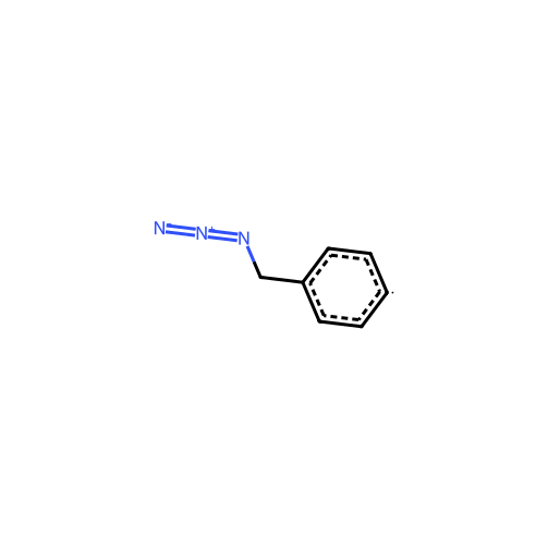 [N-]=[N+]=NCc1cc[c]cc1